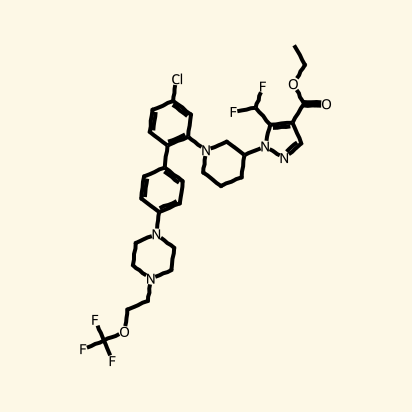 CCOC(=O)c1cnn(C2CCCN(c3cc(Cl)ccc3-c3ccc(N4CCN(CCOC(F)(F)F)CC4)cc3)C2)c1C(F)F